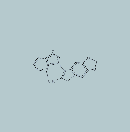 Cc1cccc2[nH]cc(C3=C(C=O)Cc4cc5c(cc43)OCO5)c12